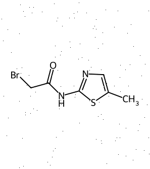 Cc1cnc(NC(=O)CBr)s1